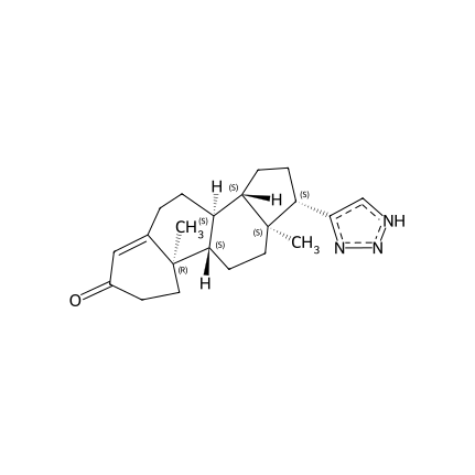 C[C@]12CC[C@H]3[C@@H](CCC4=CC(=O)CC[C@@]43C)[C@@H]1CC[C@@H]2c1c[nH]nn1